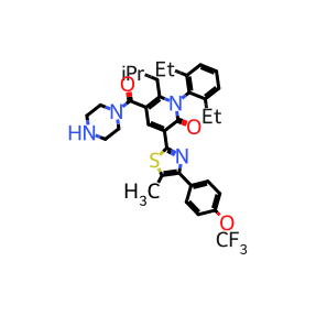 CCc1cccc(CC)c1-n1c(CC(C)C)c(C(=O)N2CCNCC2)cc(-c2nc(-c3ccc(OC(F)(F)F)cc3)c(C)s2)c1=O